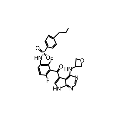 CCCc1ccc(S(=O)(=O)Nc2ccc(F)c(C(=O)c3c[nH]c4ncnc(NC5COC5)c34)c2F)cc1